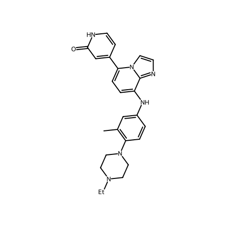 CCN1CCN(c2ccc(Nc3ccc(-c4cc[nH]c(=O)c4)n4ccnc34)cc2C)CC1